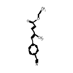 CCOC(=O)/C=C/C(C)=C/c1ccc(C#N)cc1